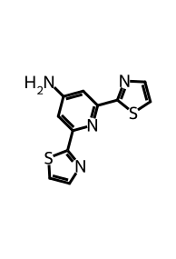 Nc1cc(-c2nccs2)nc(-c2nccs2)c1